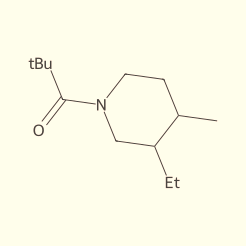 CCC1CN(C(=O)C(C)(C)C)CCC1C